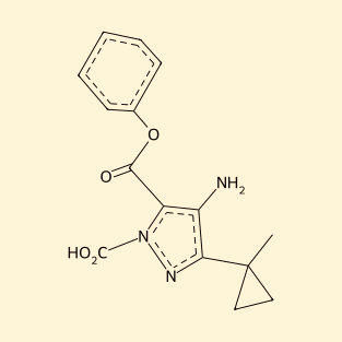 CC1(c2nn(C(=O)O)c(C(=O)Oc3ccccc3)c2N)CC1